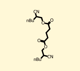 CCCCC(C#N)COC(=O)CCCC(=O)OCC(C#N)CCCC